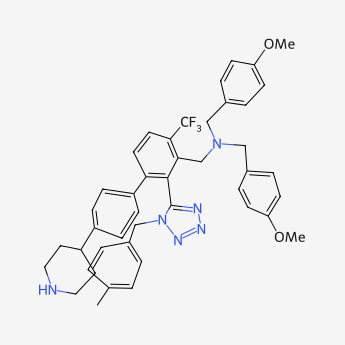 COc1ccc(CN(Cc2ccc(OC)cc2)Cc2c(C(F)(F)F)ccc(-c3ccc(C4CCNCC4)cc3)c2-c2nnnn2Cc2ccc(C)cc2)cc1